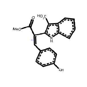 COC(=O)/C(=C/c1ccc(O)cc1)c1[nH]c2ccccc2c1C(=O)O